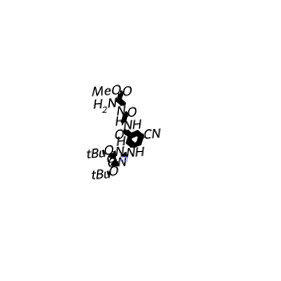 COC(=O)[C@@H](N)CNC(=O)CNC(=O)c1cc(C#N)cc(N/C(=N/C(=O)OC(C)(C)C)NC(=O)OC(C)(C)C)c1